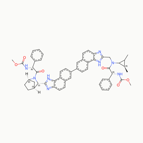 COC(=O)N[C@@H](C(=O)N(Cc1nc2ccc3cc(-c4ccc5c(ccc6nc([C@@H]7[C@H]8CC[C@H](C8)N7C(=O)[C@H](NC(=O)OC)c7ccccc7)[nH]c65)c4)ccc3c2[nH]1)C1C(C)[C@H]1C)c1ccccc1